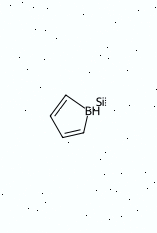 B1C=CC=C1.[Si]